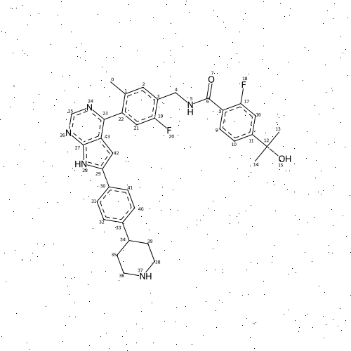 Cc1cc(CNC(=O)c2ccc(C(C)(C)O)cc2F)c(F)cc1-c1ncnc2[nH]c(-c3ccc(C4CCNCC4)cc3)cc12